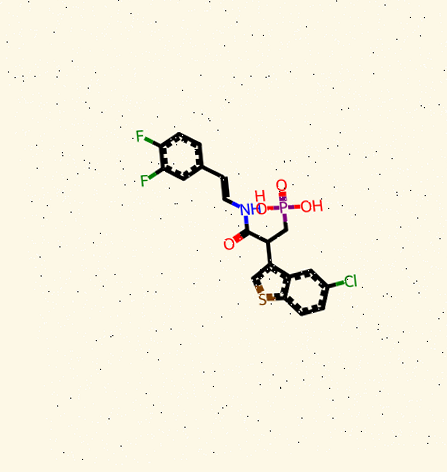 O=C(N/C=C/c1ccc(F)c(F)c1)C(CP(=O)(O)O)c1csc2ccc(Cl)cc12